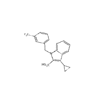 O=C(O)c1c(C2CC2)c2ccccc2n1Cc1cccc(C(F)(F)F)c1